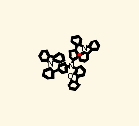 c1ccc(-n2c3ccccc3c3ccccc32)c(-c2ccc(N(c3ccc(-c4ccccc4-n4c5ccccc5c5ccccc54)cc3)c3cccc4c3oc3ccccc34)cc2)c1